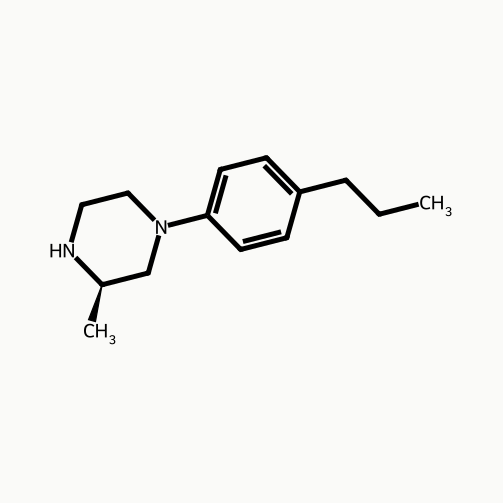 CCCc1ccc(N2CCN[C@H](C)C2)cc1